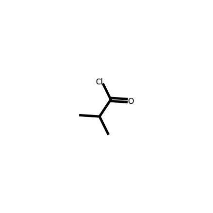 C[C](C)C(=O)Cl